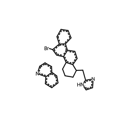 Brc1cc2c3c(ccc2c2ccccc12)C(Cc1ncc[nH]1)CCC3.c1ccc2ncccc2c1